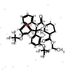 CCOC(=O)C1CCCN(C(=O)N(c2ccccc2)C(C)(c2cccc(OC(F)(F)F)c2)c2cccc(OC(F)(F)F)c2)C1